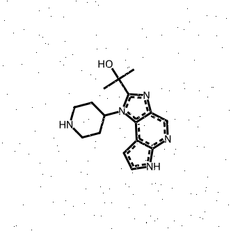 CC(C)(O)c1nc2cnc3[nH]ccc3c2n1C1CCNCC1